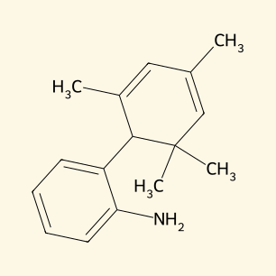 CC1=CC(C)(C)C(c2ccccc2N)C(C)=C1